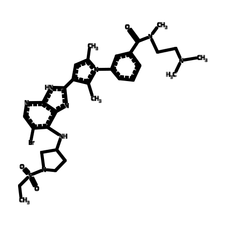 CCS(=O)(=O)N1CCC(Nc2c(Br)cnc3[nH]c(-c4cc(C)n(-c5cccc(C(=O)N(C)CCN(C)C)c5)c4C)nc23)C1